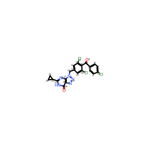 O=C(c1ccc(Cl)cc1)c1c(Cl)cc(Cn2nnc3c(=O)[nH]c(C4CC4)nc32)cc1Cl